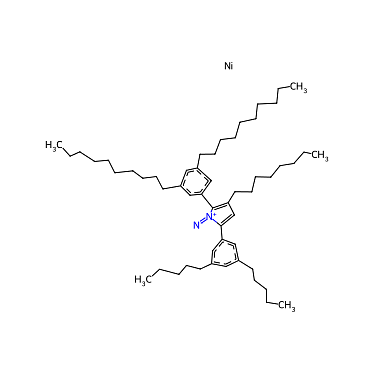 CCCCCCCCCCc1cc(CCCCCCCCCC)cc(C2=C(CCCCCCCC)C=C(c3cc(CCCCC)cc(CCCCC)c3)[N+]2=[N-])c1.[Ni]